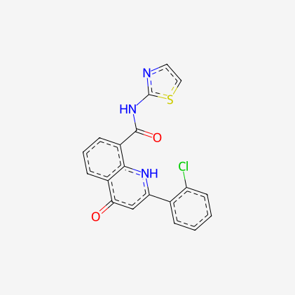 O=C(Nc1nccs1)c1cccc2c(=O)cc(-c3ccccc3Cl)[nH]c12